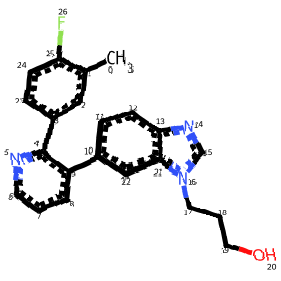 Cc1cc(-c2ncccc2-c2ccc3ncn(CCCO)c3c2)ccc1F